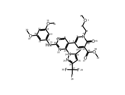 COCCn1cc(-c2cnc(Nc3cc(OC)cc(OC)c3)nc2-n2nc(C(F)(F)F)cc2C)cc(C(=O)OC)c1=O